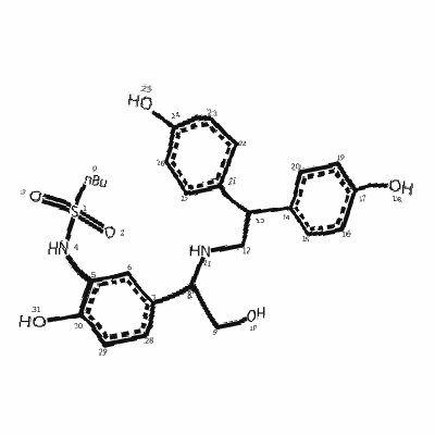 CCCCS(=O)(=O)Nc1cc(C(CO)NCC(c2ccc(O)cc2)c2ccc(O)cc2)ccc1O